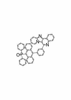 O=P(c1ccccc1)(c1ccccc1)c1c2ccccc2c(-c2cccc(-c3nc4ccccc4c4nc5ccccn5c34)c2)c2ccccc12